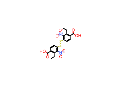 CCc1c(C(=O)O)ccc(SSc2ccc(C(=O)O)c(CC)c2[N+](=O)[O-])c1[N+](=O)[O-]